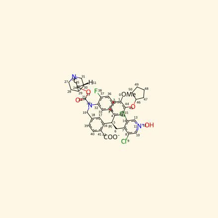 COc1ccc([C@@H](Cc2c(Cl)c[n+](O)cc2Cl)c2cc(CN(C(=O)O[C@H]3CN4CCC3CC4)c3ccccc3F)ccc2C(=O)[O-])cc1OC1CCCC1